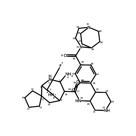 NC1NC2CC(F)CNC(CC23CCCC3)C1C(=O)NC1CNCCC1c1ccc(C(=O)N2CCN3CCC2CC3)cc1F